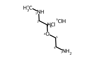 CNCCOCCN.Cl.Cl